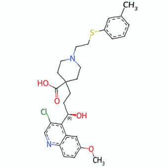 COc1ccc2ncc(Cl)c([C@H](O)CCC3(C(=O)O)CCN(CCSc4cccc(C)c4)CC3)c2c1